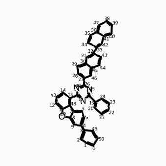 c1ccc(-c2ccc3c(c2)oc2cccc(-c4nc(-c5ccccc5)nc(-c5ccc6cc(-c7ccc8ccccc8c7)ccc6c5)n4)c23)cc1